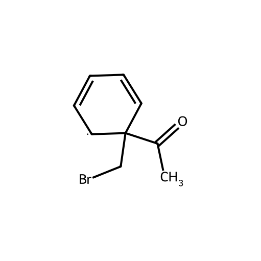 CC(=O)C1(CBr)[CH]C=CC=C1